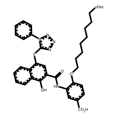 CCCCCCCCCCCCCCCCCCOc1ccc(C(=O)O)cc1NC(=O)c1cc(Sc2nnnn2-c2ccccc2)c2ccccc2c1O